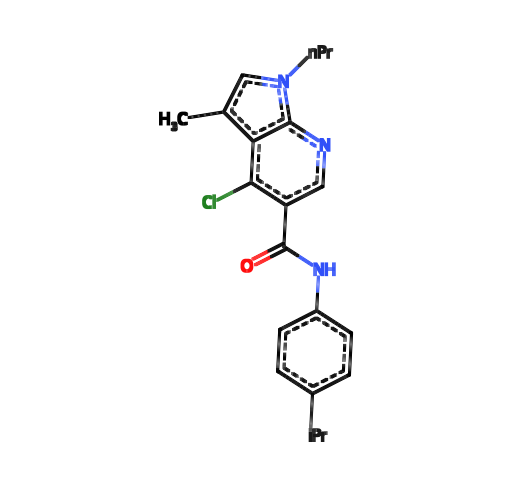 CCCn1cc(C)c2c(Cl)c(C(=O)Nc3ccc(C(C)C)cc3)cnc21